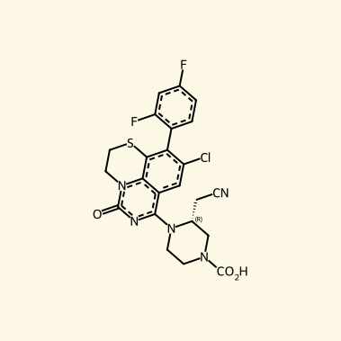 N#CC[C@@H]1CN(C(=O)O)CCN1c1nc(=O)n2c3c(c(-c4ccc(F)cc4F)c(Cl)cc13)SCC2